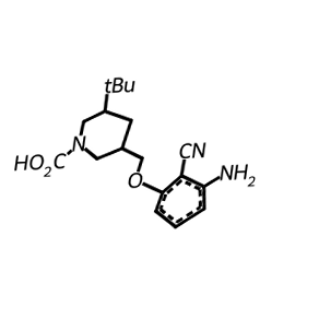 CC(C)(C)C1CC(COc2cccc(N)c2C#N)CN(C(=O)O)C1